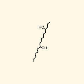 CCCCCCC(O)CCCCCCC(O)CCC